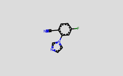 N#Cc1ccc(F)cc1-n1ccnc1